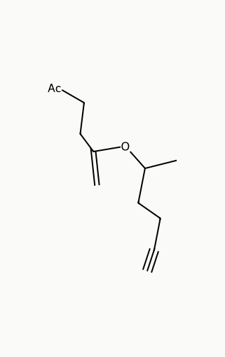 C#CCCC(C)OC(=C)CCC(C)=O